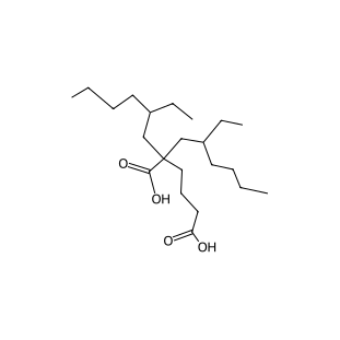 CCCCC(CC)CC(CCCC(=O)O)(CC(CC)CCCC)C(=O)O